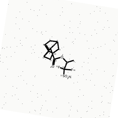 CC(OC(=O)C1C2CC=C3C(C2)CC31)C(F)(F)S(=O)(=O)O